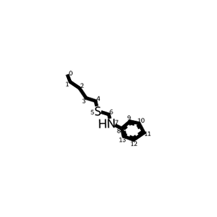 CCCCCSCNc1ccccc1